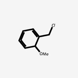 COC1C=C=CC=C1CCl